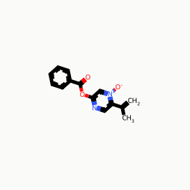 C=C(C)c1cnc(OC(=O)c2ccccc2)c[n+]1[O-]